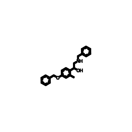 Cc1cc(OCc2ccccc2)ccc1C(O)CNCc1ccccc1